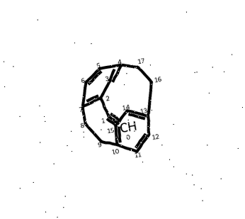 C#Cc1cc2ccc1CCc1ccc(cc1)CC2